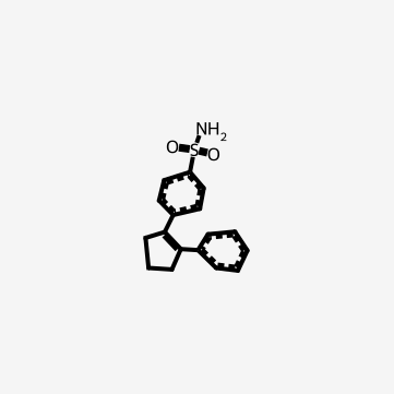 NS(=O)(=O)c1ccc(C2=C(c3ccccc3)CCC2)cc1